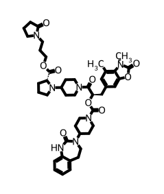 Cc1cc(C[C@@H](OC(=O)N2CCC(N3CCc4ccccc4NC3=O)CC2)C(=O)N2CCC(N3CCC[C@@H]3C(=O)OCCCN3CCCC3=O)CC2)cc2oc(=O)n(C)c12